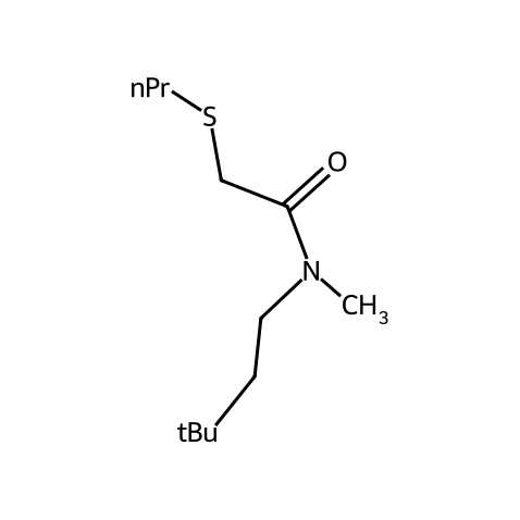 CCCSCC(=O)N(C)CCC(C)(C)C